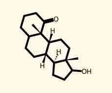 C[C@]12C(=O)CCCC1CC[C@@H]1[C@H]2CC[C@]2(C)C(O)CC[C@@H]12